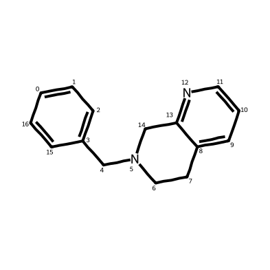 c1ccc(CN2CCc3cccnc3C2)cc1